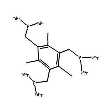 CCCP(CCC)Cc1c(C)c(CP(CCC)CCC)c(C)c(CP(CCC)CCC)c1C